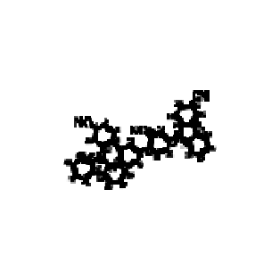 N#Cc1ccc(-c2cccc(-c3ccc(-n4c5ccccc5c5cc(C#N)ccc54)cc3C#N)c2)c(-n2c3ccccc3c3ccccc32)c1